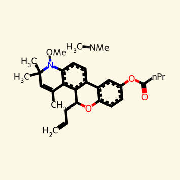 C=CCC1Oc2ccc(OC(=O)CCC)cc2-c2ccc3c(c21)C(C)=CC(C)(C)N3OC.CNC